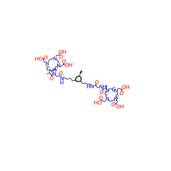 C#Cc1cc(CCCCNC(=O)CNC(=O)C(C)N2CCN(CC(=O)O)CCN(CC(=O)O)CCN(CC(=O)O)CC2)cc(CCCCNC(=O)CNC(=O)C(C)N2CCN(CC(=O)O)CCN(CC(=O)O)CCN(CC(=O)O)CC2)c1